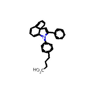 O=C(O)CCCc1ccc(N2C(c3ccccc3)=CC34CC=CC=C3C=CC=C24)cc1